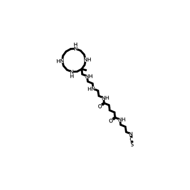 CC1(CNCCNCCNC(=O)CCCC(=O)NCCCN=C=S)CNCCNCCCNCCNC1